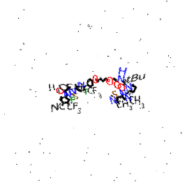 Cc1ncsc1-c1cn(C)c([C@@H]2CCCN2C(=O)[C@@H](NC(=O)COCCCCOc2ccc(-c3ncc(N4C(=S)N(c5ccc(C#N)c(C(F)(F)F)c5F)C(=O)C4(C)C)cc3F)c(C(F)(F)F)c2)C(C)(C)C)n1